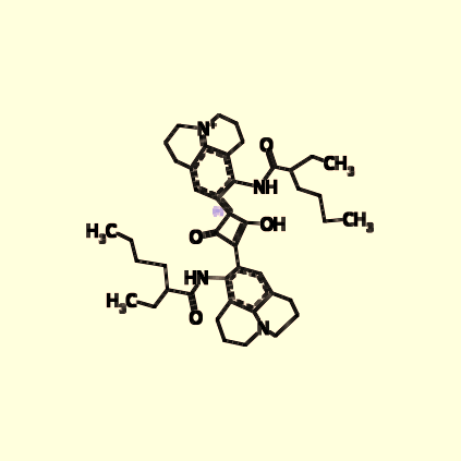 CCCCC(CC)C(=O)Nc1c(C2=C(O)/C(=c3/cc4c5c(c3NC(=O)C(CC)CCCC)CCC[N+]=5CCC4)C2=O)cc2c3c1CCCN3CCC2